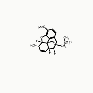 COc1ccc2c3c1O[C@H]1[C@@H](O)C=C[C@H]4[C@@H](C2)N(C)CC[C@@]341.CS(=O)(=O)O